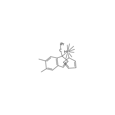 Cc1cc2c(cc1C)[C](CC(C)C)([Hf]([CH3])([CH3])([CH3])([CH3])([CH3])([CH3])([CH3])[CH]1C=CC=C1)C=C2